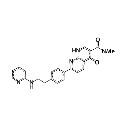 CNC(=O)c1c[nH]c2nc(-c3ccc(CCNc4ccccn4)cc3)ccc2c1=O